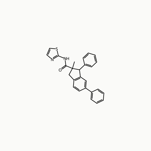 CC1(C(=O)Nc2nccs2)Cc2ccc(-c3ccccc3)cc2C1c1ccccc1